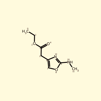 CCOC(=O)Cc1coc(NC)n1